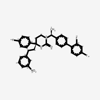 C[C@@H](c1ccc(-c2ccc(F)cc2F)cc1)N1CC[C@@](CCc2[c]ccc([N+](=O)[O-])c2)(c2ccc(F)cc2)OC1=O